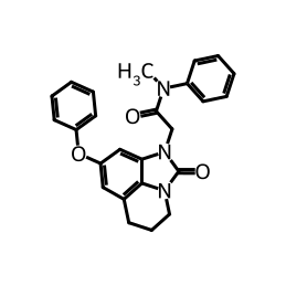 CN(C(=O)Cn1c(=O)n2c3c(cc(Oc4ccccc4)cc31)CCC2)c1ccccc1